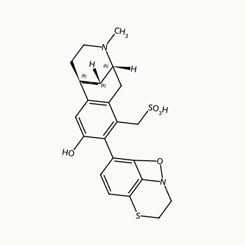 CN1CC[C@]23CCCC[C@H]2[C@H]1Cc1c3cc(O)c(-c2ccc3c4c2on4CCS3)c1CS(=O)(=O)O